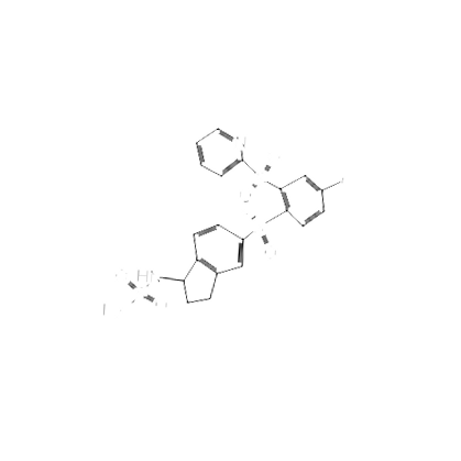 O=S(=O)(c1ccc2c(c1)CCC2NS(=O)(=O)C(F)(F)F)c1ccc(Cl)cc1S(=O)(=O)c1ccccn1